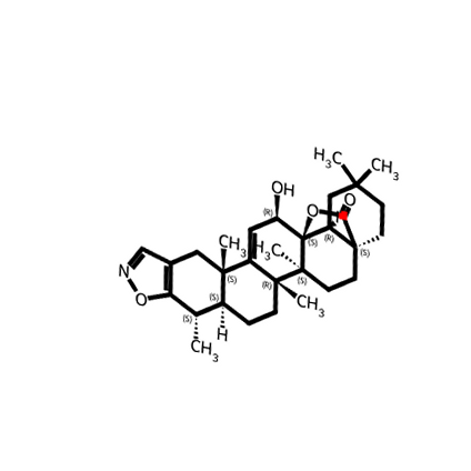 C[C@@H]1c2oncc2C[C@]2(C)C3=C[C@@H](O)[C@]45OC(=O)[C@@]6(CCC(C)(C)C[C@H]64)CC[C@@]5(C)[C@]3(C)CC[C@@H]12